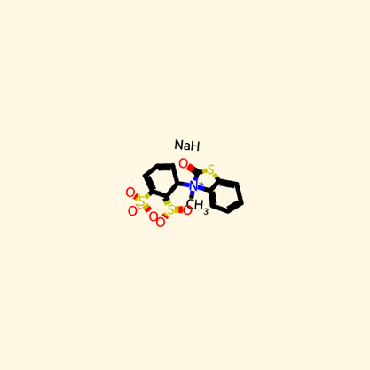 C[N+]1(C2C=CC=C(S(=O)(=O)[O-])C2=S(=O)=O)C(=O)Sc2ccccc21.[NaH]